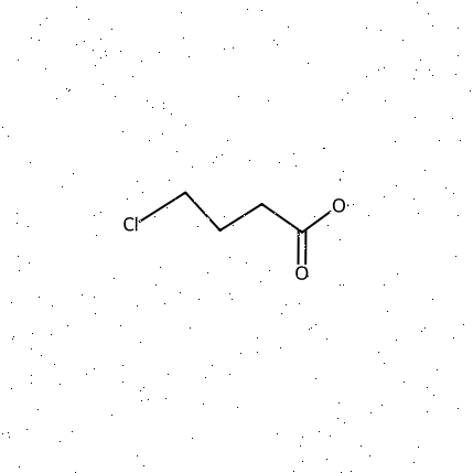 [O]C(=O)CCCCl